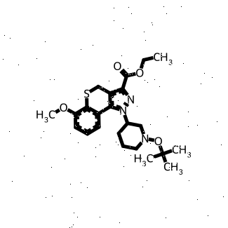 CCOC(=O)c1nn(C2CCCN(OC(C)(C)C)C2)c2c1CSc1c(OC)cccc1-2